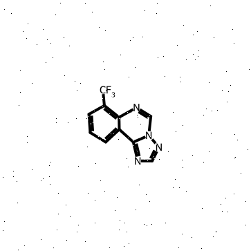 FC(F)(F)c1cccc2c1ncn1ncnc21